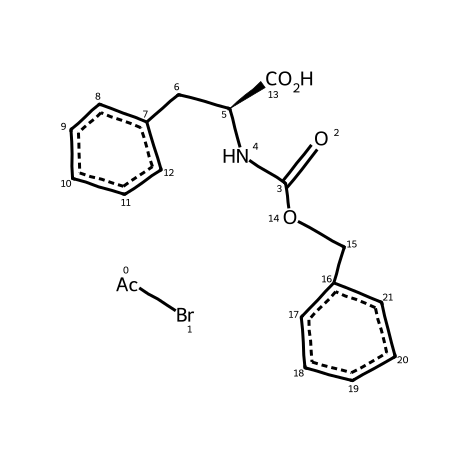 CC(=O)Br.O=C(N[C@@H](Cc1ccccc1)C(=O)O)OCc1ccccc1